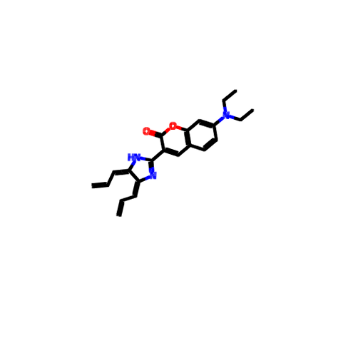 C=C/C=c1/nc(-c2cc3ccc(N(CC)CC)cc3oc2=O)[nH]/c1=C/C=C